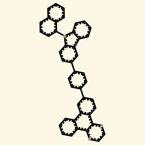 c1ccc2c(-n3c4ccccc4c4cc(-c5ccc(-c6ccc7c(c6)c6ccccc6c6nccnc76)cc5)ccc43)cccc2c1